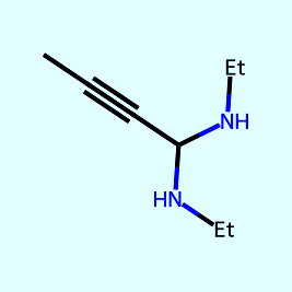 CC#CC(NCC)NCC